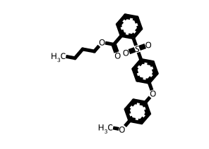 CCCCOC(=O)c1ccccc1S(=O)(=O)c1ccc(Oc2ccc(OC)cc2)cc1